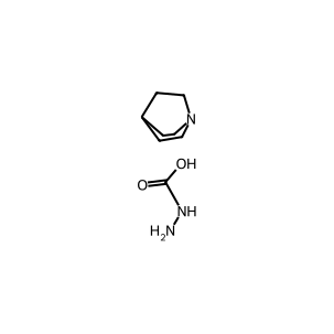 C1CN2CCC1CC2.NNC(=O)O